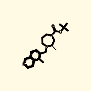 Cc1c(CN2CCCN(C(=O)OC(C)(C)C)C[C@@H]2C)ccc2cnccc12